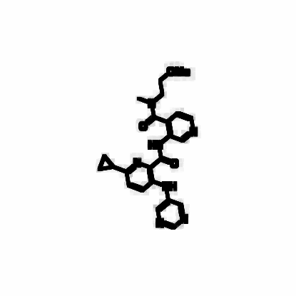 COCCN(C)C(=O)c1ccncc1NC(=O)c1nc(C2CC2)ccc1Nc1cncnc1